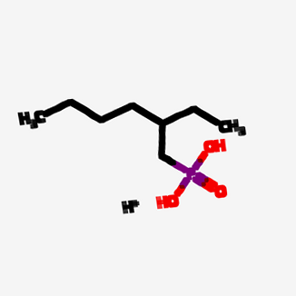 CCCCC(CC)CP(=O)(O)O.[H+]